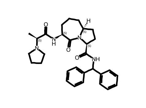 C[C@@H](C(=O)N[C@H]1CCC[C@H]2CC[C@@H](C(=O)NC(c3ccccc3)c3ccccc3)N2C1=O)N1CCCC1